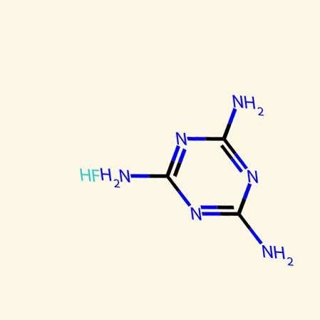 F.Nc1nc(N)nc(N)n1